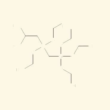 CCO[Si](CC(C)C)(C[Si](OCC)(OCC)OCC)OCC